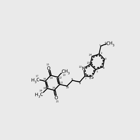 CCc1ccc2sc(CCCC3=C(C)C(=O)C(C)=C(C)C3=O)nc2c1